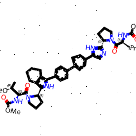 COC(=O)N[C@H](C(=O)N1CCC[C@H]1c1ncc(-c2ccc(-c3ccc(-c4[nH]c([C@H]5CCCN5C(=O)[C@@H](NC(=O)OC)[C@@H](C)OC)c5c4CCCC5)cc3)cc2)[nH]1)C(C)C